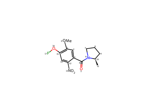 COc1cc(C(=O)N2CCC[C@H]2C)c([N+](=O)[O-])cc1OF